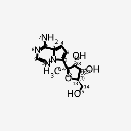 C[C@@]1(c2ccc3c(N)ncnn23)O[C@H](CO)[C@@H](O)[C@H]1O